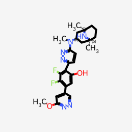 COc1cc(-c2cc(O)c(-c3ccc(N(C)[C@@H]4C[C@]5(C)CCC[C@](C)(C4)N5)nn3)c(F)c2F)cnn1